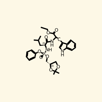 CCOC(=O)C(Cc1c[nH]c2ccccc12)NC(=O)[C@H](CC(C)C)NP(=O)(OC[C@@H]1COC(C)(C)O1)Oc1ccccc1